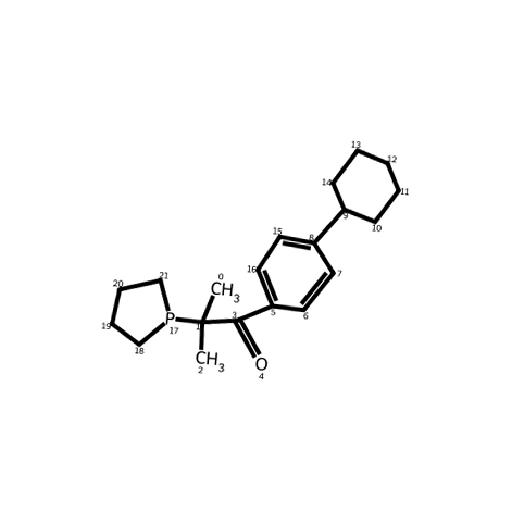 CC(C)(C(=O)c1ccc(C2CCCCC2)cc1)P1CCCC1